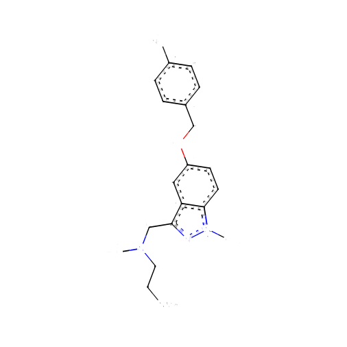 CNCCN(C)Cc1nn(C)c2ccc(OCc3ccc(C#N)cc3)cc12